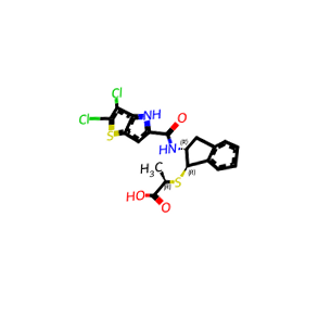 C[C@@H](S[C@@H]1c2ccccc2C[C@H]1NC(=O)c1cc2sc(Cl)c(Cl)c2[nH]1)C(=O)O